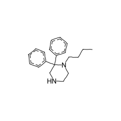 CCCCN1CCNCC1(c1ccccc1)c1ccccc1